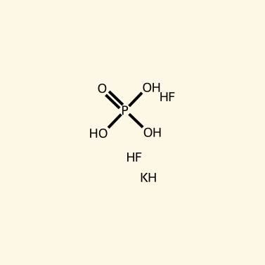 F.F.O=P(O)(O)O.[KH]